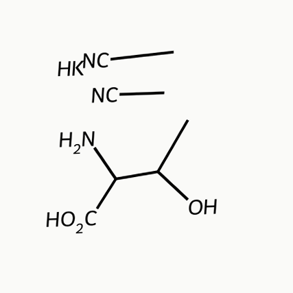 CC#N.CC#N.CC(O)C(N)C(=O)O.[KH]